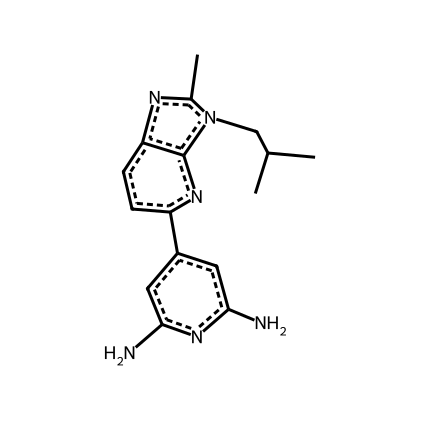 Cc1nc2ccc(-c3cc(N)nc(N)c3)nc2n1CC(C)C